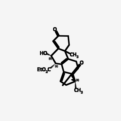 CCOC(=O)[C@H]1C2=C(CCC34C(=O)CC[C@]3(C)CC=C24)C2(C)CCC(=O)C=C2[C@H]1O